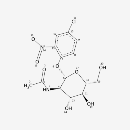 CC(=O)N[C@H]1[C@H](Oc2ccc(Cl)cc2[N+](=O)[O-])O[C@H](CO)[C@@H](O)[C@@H]1O